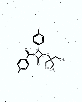 CC[Si](CC)(CC)O[C@@H]1C(=O)N(C(=O)c2ccc(F)cc2)[C@@H]1c1ccc(Cl)cc1